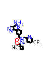 CN(C(=O)C1(C#N)CCC1)N(Cc1ccc(C(F)(F)F)cn1)C(=O)c1ccc2nc(N)c3cnn(C)c3c2c1